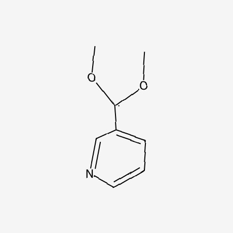 CO[C](OC)c1cccnc1